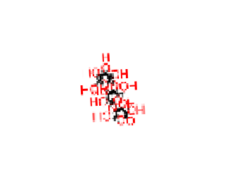 O=C1O[C@H](CO)[C@@H](O[C@H]2O[C@H](CO)[C@@H](O[C@@H]3O[C@H](CO)[C@H](O)[C@H](O)[C@H]3O)[C@H](O)[C@H]2O)[C@H](O)[C@H]1O